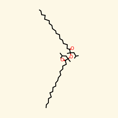 CCCCCCCCCCCCCCCCCC(=O)C(C)(CC(C)C)OC(C)(CC(C)C)C(=O)CCCCCCCCCCCCCCCCC